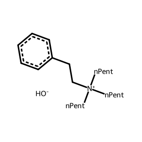 CCCCC[N+](CCCCC)(CCCCC)CCc1ccccc1.[OH-]